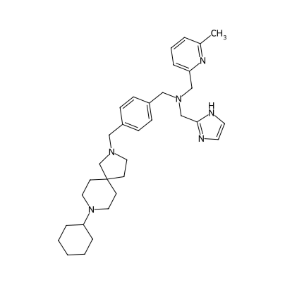 Cc1cccc(CN(Cc2ccc(CN3CCC4(CCN(C5CCCCC5)CC4)C3)cc2)Cc2ncc[nH]2)n1